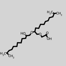 CC(C)CCCCCCCCC(O)COC(CCCCCCCCC(C)C)COCC(=O)O